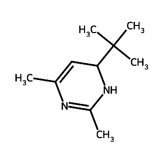 CC1=CC(C(C)(C)C)NC(C)=N1